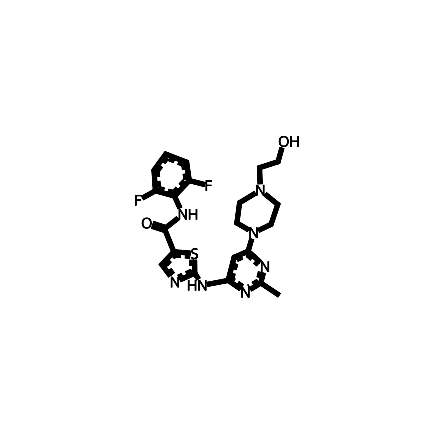 Cc1nc(Nc2ncc(C(=O)Nc3c(F)cccc3F)s2)cc(N2CCN(CCO)CC2)n1